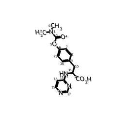 CN(C)C(=O)Oc1ccc(CC(Nc2ccncn2)C(=O)O)cc1